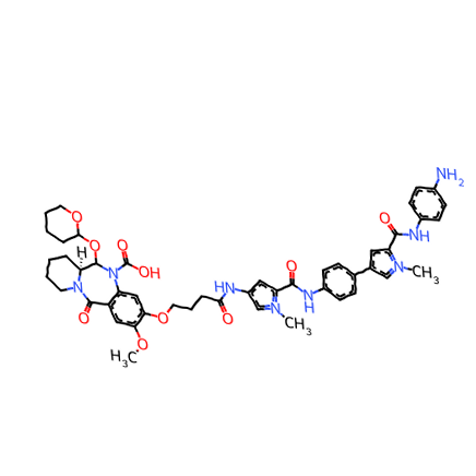 COc1cc2c(cc1OCCCC(=O)Nc1cc(C(=O)Nc3ccc(-c4cc(C(=O)Nc5ccc(N)cc5)n(C)c4)cc3)n(C)c1)N(C(=O)O)C(OC1CCCCO1)[C@@H]1CCCCN1C2=O